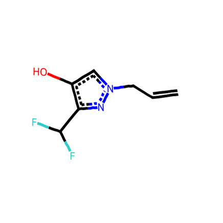 C=CCn1cc(O)c(C(F)F)n1